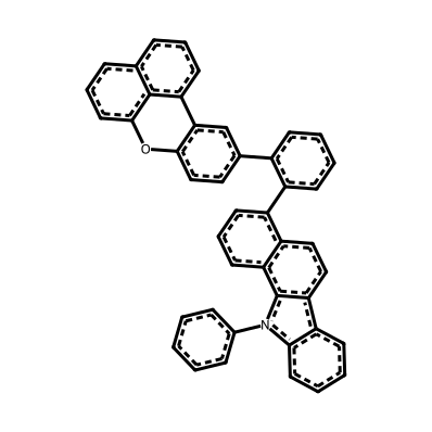 c1ccc(-n2c3ccccc3c3ccc4c(-c5ccccc5-c5ccc6c(c5)-c5cccc7cccc(c57)O6)cccc4c32)cc1